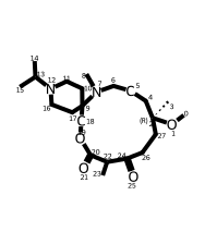 CO[C@]1(C)CCCN(C)C2(CCN(C(C)C)CC2)COC(=O)C(C)C(=O)CC1